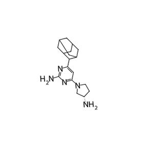 Nc1nc(C2C3CC4CC(C3)CC2C4)cc(N2CC[C@H](N)C2)n1